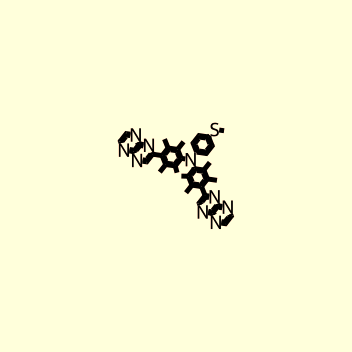 CSc1ccc(N(c2c(C)c(C)c(-c3cnc4nccnc4n3)c(C)c2C)c2c(C)c(C)c(-c3cnc4nccnc4n3)c(C)c2C)cc1